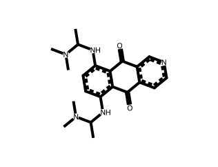 CC(Nc1ccc(NC(C)N(C)C)c2c1C(=O)c1ccncc1C2=O)N(C)C